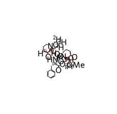 [2H]C([2H])([2H])OC[C@]1(COP(=O)(N[C@@H](Cc2ccccc2)C(=O)OC(C)C)OC[C@@]2(COC)C(=O)C3CCN2[C@H](C)C3)C(=O)[C@H]2CCN1[C@H](C)C2